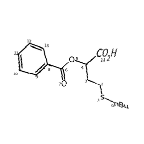 CCCCSCCC(OC(=O)c1ccccc1)C(=O)O